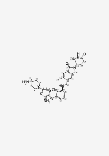 CC1(N)CCN(c2cnc(Sc3cccc(NCc4cc5c(cc4F)C(=O)N(C4CCC(=O)NC4=O)C5)c3Cl)c(N)n2)CC1